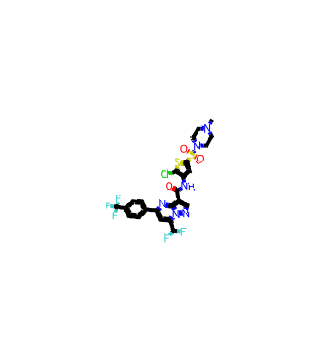 CN1CCN(S(=O)(=O)c2cc(NC(=O)c3cnn4c(C(F)F)cc(-c5ccc(C(F)(F)F)cc5)nc34)c(Cl)s2)CC1